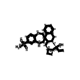 C=C[C@](C)(O)[C@@H]1CC[C@@H]1CC1CCc2ccccc2C12CNc1cc(S(N)(=O)=O)ccc1OC2